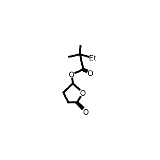 CCC(C)(C)C(=O)OC1CCC(=O)O1